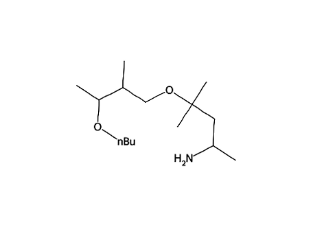 CCCCOC(C)C(C)COC(C)(C)CC(C)N